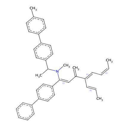 C=C(/C=C(/c1ccc(-c2ccccc2)cc1)N(C)C(C)c1ccc(-c2ccc(C)cc2)cc1)C(/C=C/C)=C/C=C\C